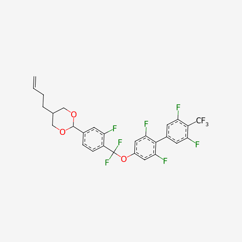 C=CCCC1COC(c2ccc(C(F)(F)Oc3cc(F)c(-c4cc(F)c(C(F)(F)F)c(F)c4)c(F)c3)c(F)c2)OC1